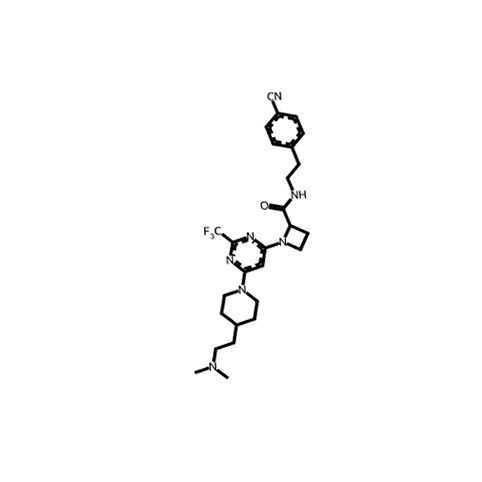 CN(C)CCC1CCN(c2cc(N3CCC3C(=O)NCCc3ccc(C#N)cc3)nc(C(F)(F)F)n2)CC1